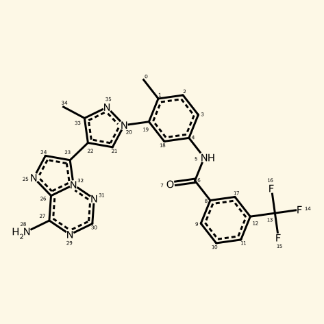 Cc1ccc(NC(=O)c2cccc(C(F)(F)F)c2)cc1-n1cc(-c2cnc3c(N)ncnn23)c(C)n1